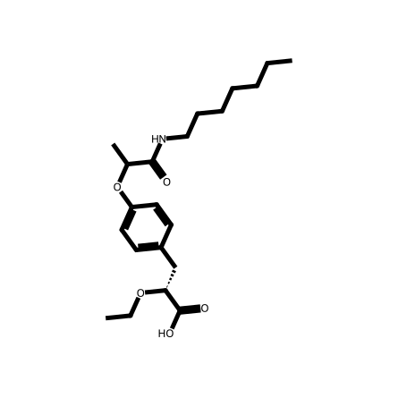 CCCCCCCNC(=O)C(C)Oc1ccc(C[C@@H](OCC)C(=O)O)cc1